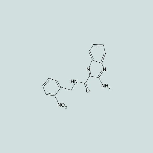 Nc1nc2ccccc2nc1C(=O)NCc1ccccc1[N+](=O)[O-]